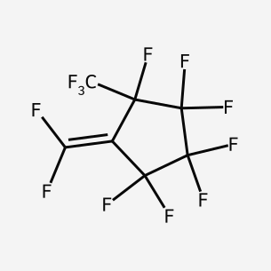 FC(F)=C1C(F)(F)C(F)(F)C(F)(F)C1(F)C(F)(F)F